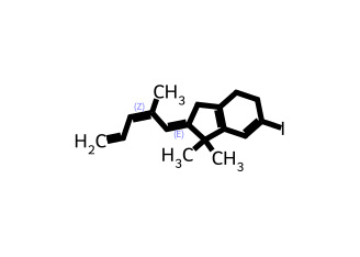 C=C/C=C(C)\C=C1/CC2=C(C=C(I)CC2)C1(C)C